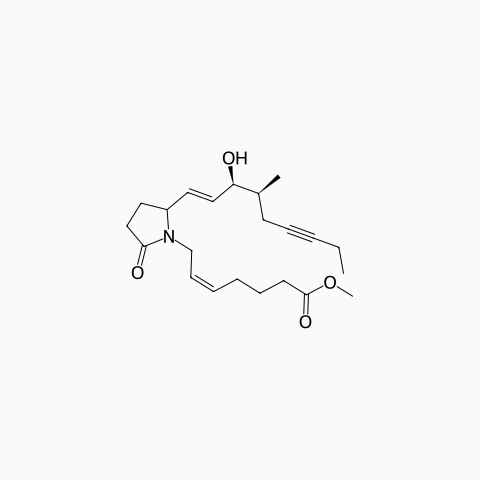 CCC#CC[C@H](C)[C@H](O)/C=C/C1CCC(=O)N1C/C=C\CCCC(=O)OC